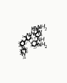 Cc1nc(Nc2cc(N[C@@H]3CCCC[C@@H]3N)cnc2C(N)=O)ccc1-c1cccc(N2CCN(C)CC2)c1